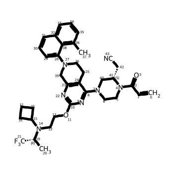 C=CC(=O)N1CCN(c2nc(OCCN(C3CCC3)[C@H](C)C(F)(F)F)nc3c2CCN(c2cccc4cccc(C)c24)C3)C[C@@H]1CC#N